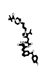 CC(C)c1c(/C=c2\[nH]c(=O)/c(=C/c3cccc(C(=O)c4ccc(F)cc4)c3)[nH]c2=O)ncn1CCCN1CCN(C(=O)C(C)(C)C)CC1